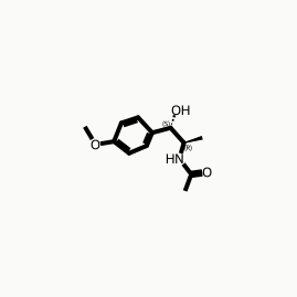 COc1ccc([C@H](O)[C@@H](C)NC(C)=O)cc1